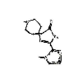 Cn1ccnc1C1=NC2(CCNCC2)C(=O)N1